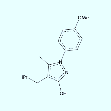 COc1ccc(-n2nc(O)c(CC(C)C)c2C)cc1